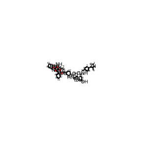 Cc1ncsc1-c1ccc(CNC(=O)[C@@H]2C[C@@H](O)CN2C(=O)[C@@H](NC(=O)[C@H]2CC[C@H](N3CCC(c4cnc(N5C6CCC5CN(c5cc(-c7ccccc7O)nnc5N)C6)nc4)CC3)CC2)C(C)(C)C)cc1